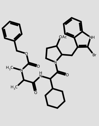 CC(=O)OC1CCN(C(=O)C(NC(=O)C(C)N(C)C(=O)OCc2ccccc2)C2CCCCC2)C1Cc1c(Br)[nH]c2ccccc12